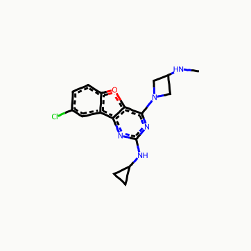 CNC1CN(c2nc(NC3CC3)nc3c2oc2ccc(Cl)cc23)C1